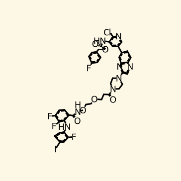 O=C(NOCCOCCC(=O)N1CCN(c2cnc3ccc(-c4cnc(Cl)c(NS(=O)(=O)c5ccc(F)cc5)c4)cc3n2)CC1)c1ccc(F)c(F)c1Nc1ccc(I)cc1F